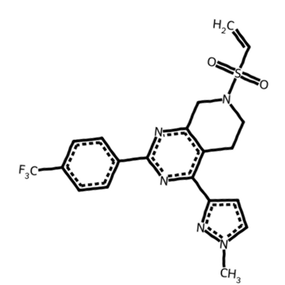 C=CS(=O)(=O)N1CCc2c(nc(-c3ccc(C(F)(F)F)cc3)nc2-c2ccn(C)n2)C1